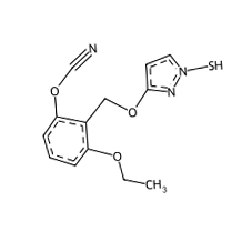 CCOc1cccc(OC#N)c1COc1ccn(S)n1